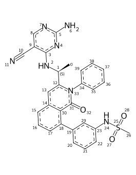 C[C@H](Nc1nc(N)ncc1C#N)c1cc2cccc(-c3cccc(NS(C)(=O)=O)c3)c2c(=O)n1-c1ccccc1